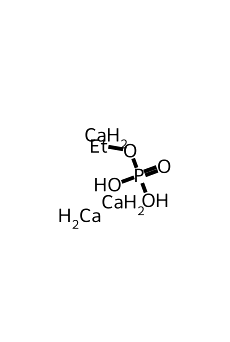 CCOP(=O)(O)O.[CaH2].[CaH2].[CaH2]